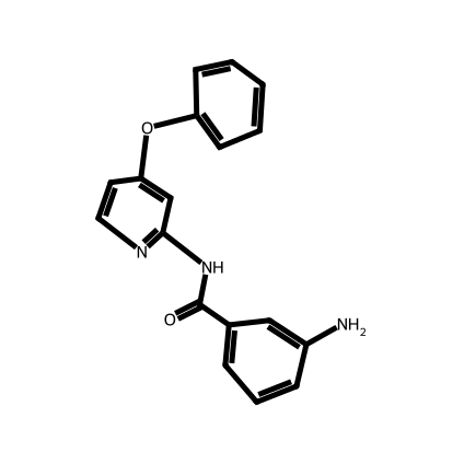 Nc1cccc(C(=O)Nc2cc(Oc3ccccc3)ccn2)c1